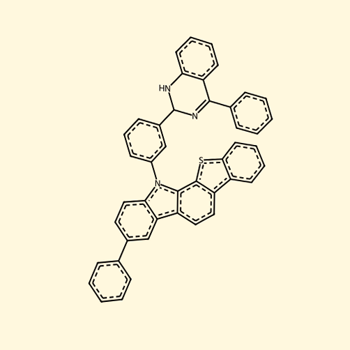 c1ccc(C2=NC(c3cccc(-n4c5ccc(-c6ccccc6)cc5c5ccc6c7ccccc7sc6c54)c3)Nc3ccccc32)cc1